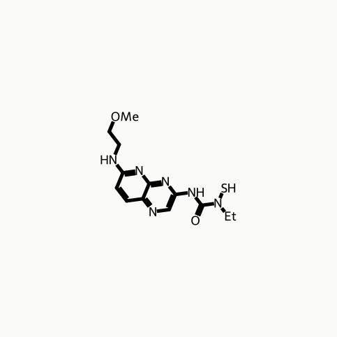 CCN(S)C(=O)Nc1cnc2ccc(NCCOC)nc2n1